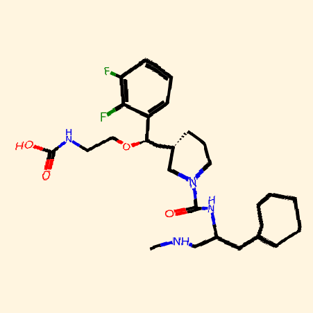 CNCC(CC1CCCCC1)NC(=O)N1CCC[C@@H]([C@@H](OCCNC(=O)O)c2cccc(F)c2F)C1